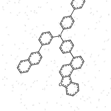 c1ccc(-c2ccc(N(c3ccc(-c4cccc5c4ccc4oc6ccccc6c45)cc3)c3cccc(-c4ccc5ccccc5c4)c3)cc2)cc1